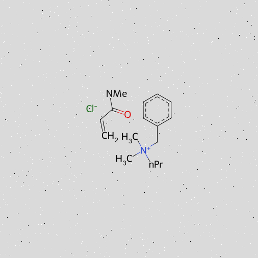 C=CC(=O)NC.CCC[N+](C)(C)Cc1ccccc1.[Cl-]